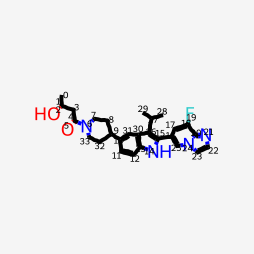 CC(O)CC(=O)N1CCC(c2ccc3[nH]c(-c4cc(F)c5nccn5c4)c(C(C)C)c3c2)CC1